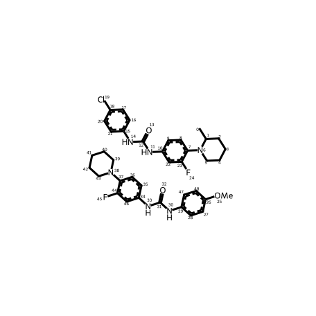 CC1CCCCN1c1ccc(NC(=O)Nc2ccc(Cl)cc2)cc1F.COc1ccc(NC(=O)Nc2ccc(N3CCCCC3)c(F)c2)cc1